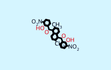 Cc1ccc2c(C(=O)c3cccc([N+](=O)[O-])c3O)c(C)ccc2c1C(=O)c1cccc([N+](=O)[O-])c1O